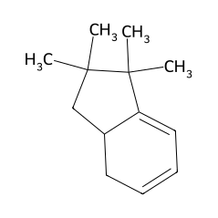 CC1(C)CC2CC=CC=C2C1(C)C